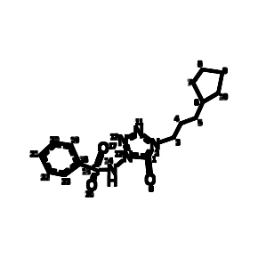 O=c1n(CCCC2CCCC2)nnn1NS(=O)(=O)c1ccccc1